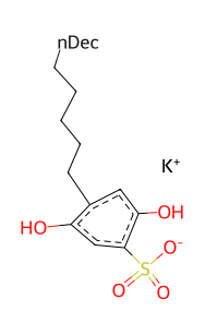 CCCCCCCCCCCCCCCc1cc(O)c(S(=O)(=O)[O-])cc1O.[K+]